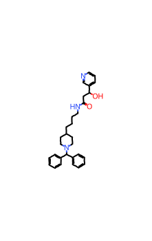 O=C(CC(O)c1cccnc1)NCCCCC1CCN(C(c2ccccc2)c2ccccc2)CC1